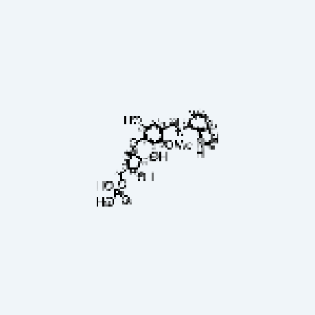 COc1cc(OC2O[C@H](COP(=O)(O)O)[C@@H](O)[C@H]2O)c(O)cc1CNc1ncnc2nc[nH]c12